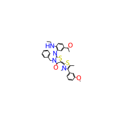 CCNc1ccc(C(C)=O)cc1N=C1SC(=C2SC(C)=C(c3cccc(OC)c3)N2C)C(=O)N1Cc1ccccc1